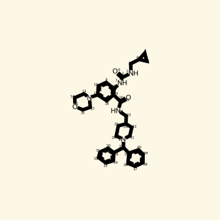 O=C(NCC1CC1)Nc1ccc(N2CCOCC2)cc1C(=O)NCC1CCN(C(c2ccccc2)c2ccccc2)CC1